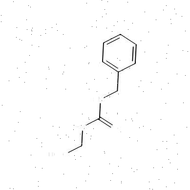 O=C(O)[CH]NC(=O)NCc1ccccc1